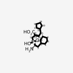 N[C@@H](CC1CCCCC1)P(=O)(O)CC(=CCC1CCCC1)C(=O)O